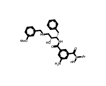 CCCN(CCC)C(=O)c1cc(N)cc(C(=O)N[C@@H](Cc2ccccc2)[C@H](O)CNCc2cccc(OC)c2)c1